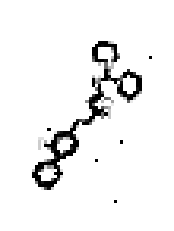 Fc1cc(CCc2cc(N=C(N3CCCCC3)N3CCCCC3)on2)ccc1-c1ccccc1